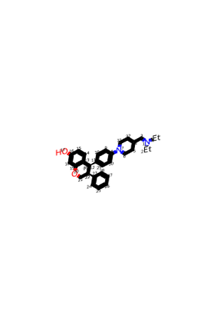 CCN(CC)CC1CCN(c2ccc([C@@H]3c4ccc(O)cc4OC[C@@H]3c3ccccc3)cc2)CC1